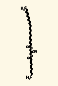 CCCCCCCCCCCCCCCCCCC(=O)OCC(O)COC(=O)CCCCCCCC